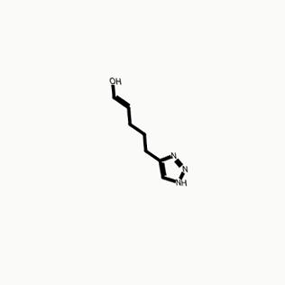 OC=CCCCc1c[nH]nn1